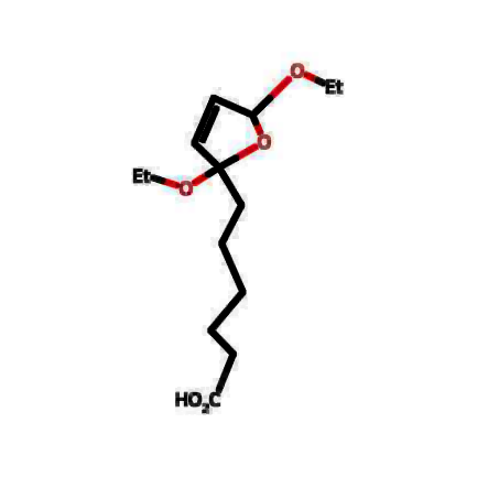 CCOC1C=CC(CCCCCC(=O)O)(OCC)O1